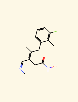 C/N=C\C(CC(=O)NO)=C(/C)Cc1cccc(F)c1C